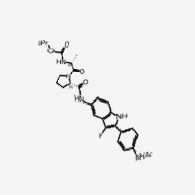 CC(=O)Nc1ccc(-c2[nH]c3ccc(NC(=O)[C@@H]4CCCN4C(=O)[C@@H](C)NC(=O)OC(C)C)cc3c2F)cc1